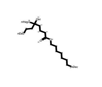 CCCCCCCCCCCCCCCCCOC(=O)CCCC(O)(CCCCCCC)CCCCCCCCCCCC